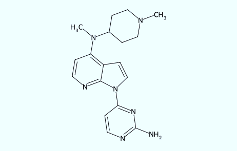 CN1CCC(N(C)c2ccnc3c2ccn3-c2ccnc(N)n2)CC1